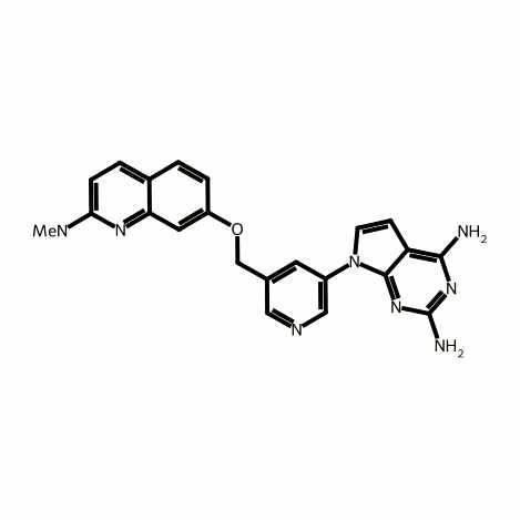 CNc1ccc2ccc(OCc3cncc(-n4ccc5c(N)nc(N)nc54)c3)cc2n1